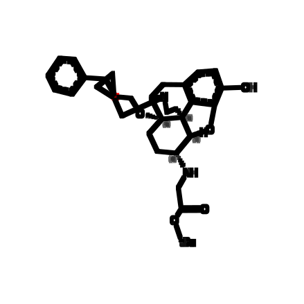 CC(C)(C)OC(=O)CN[C@@H]1CC[C@@]2(OCCCc3ccccc3)C3Cc4ccc(O)c5c4[C@@]2(CCN3CC2CC2)[C@H]1O5